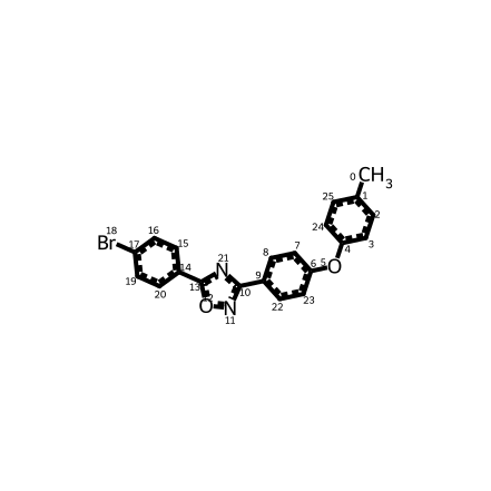 Cc1ccc(Oc2ccc(-c3noc(-c4ccc(Br)cc4)n3)cc2)cc1